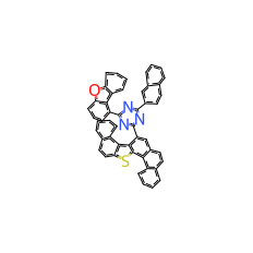 c1ccc2cc(-c3nc(-c4cccc5oc6ccccc6c45)nc(-c4cc5ccc6ccccc6c5c5sc6ccc7ccccc7c6c45)n3)ccc2c1